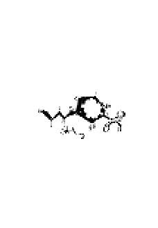 C=CC[C@@H](N)c1ccnc(S(C)(=O)=O)c1